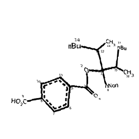 CCCCCCCCCC(OC(=O)c1ccc(C(=O)O)cc1)(C(C)CCCC)C(C)CCCC